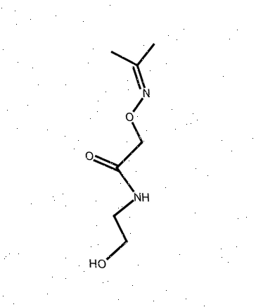 CC(C)=NOCC(=O)NCCO